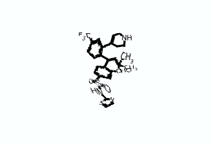 CC1(C)CC(c2ccc(C(F)(F)F)cc2C2=CCNCC2)c2ccc(S(=O)(=O)Nc3nccs3)cc2O1.Cl